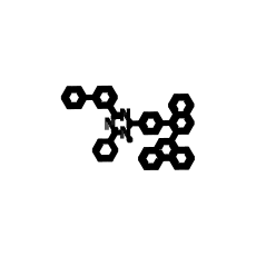 CN1C(C2C=CC=CC2)=NC(c2cccc(-c3ccccc3)c2)=NC1c1ccc(-c2c(-c3cc4ccccc4c4ccccc34)ccc3ccccc23)cc1